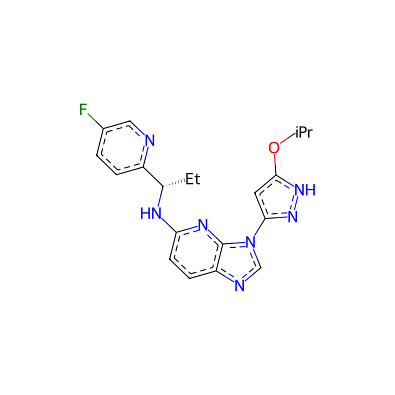 CC[C@H](Nc1ccc2ncn(-c3cc(OC(C)C)[nH]n3)c2n1)c1ccc(F)cn1